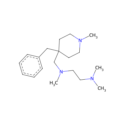 CN(C)CCN(C)CC1(Cc2ccccc2)CCN(C)CC1